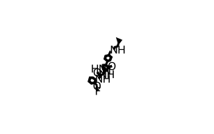 O=C(Nc1nc(=O)c(-c2ccc(CNCCC3CC3)cc2)c[nH]1)Nc1ccccc1OCF